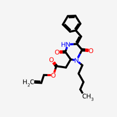 C=CCOC(=O)CC1C(=O)N/C(=C\c2ccccc2)C(=O)N1CCCCC